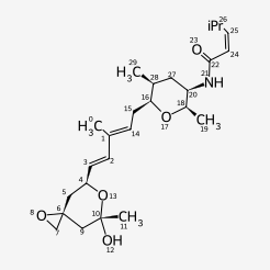 CC(/C=C/[C@@H]1C[C@]2(CO2)C[C@@](C)(O)O1)=C\C[C@@H]1O[C@H](C)[C@H](NC(=O)/C=C\C(C)C)C[C@@H]1C